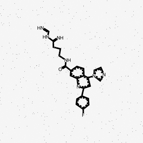 N=CNC(=N)CCCNC(=O)c1ccc2c(-n3ccnc3)cc(-c3ccc(F)cc3)nc2c1